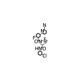 N#Cc1cccc(-c2ccc(F)c(C(=O)N3CC(C(=O)Nc4cccc(Cl)c4)CC(F)(F)C3)c2)n1